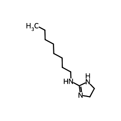 CCCCCCCCNC1=NCCN1